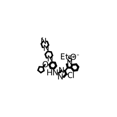 CC[S+]([O-])n1cc(-c2nc(Nc3ccc(N4CCC(N5CCN(C)CC5)CC4)c(OC4CCCC4)c3)ncc2Cl)c2ccccc21